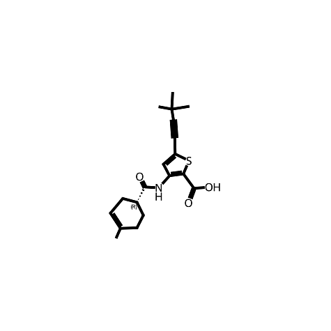 CC1=CC[C@H](C(=O)Nc2cc(C#CC(C)(C)C)sc2C(=O)O)CC1